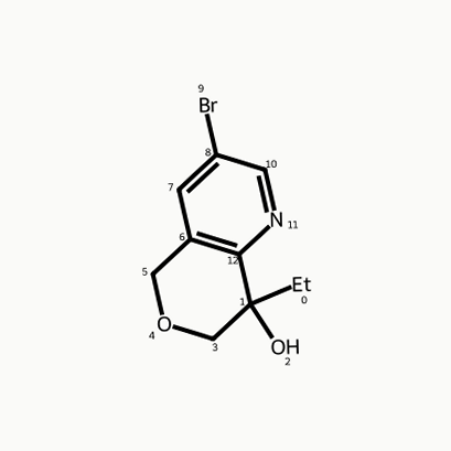 CCC1(O)COCc2cc(Br)cnc21